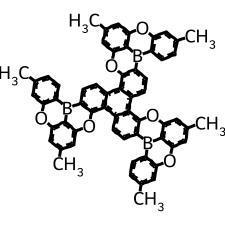 Cc1ccc2c(c1)Oc1cc(C)cc3c1B2c1ccc2c(c1O3)c1ccc3c(c1c1ccc4c(c21)Oc1cc(C)cc2c1B4c1ccc(C)cc1O2)Oc1cc(C)cc2c1B3c1ccc(C)cc1O2